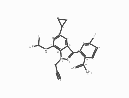 C#CCn1nc(-c2cc(F)ccc2C(N)=O)c2cc(C3CC3)cc(OC(F)F)c21